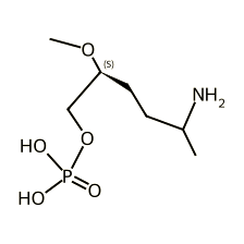 CO[C@@H](CCC(C)N)COP(=O)(O)O